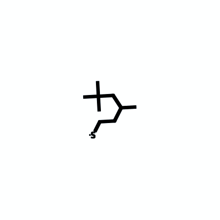 CC(CC[S])CC(C)(C)C